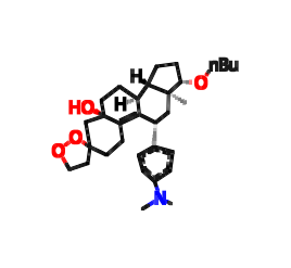 CCCCO[C@H]1CC[C@H]2[C@@H]3CC[C@@]4(O)CC5(CCOO5)CCC4=C3[C@@H](c3ccc(N(C)C)cc3)C[C@]12C